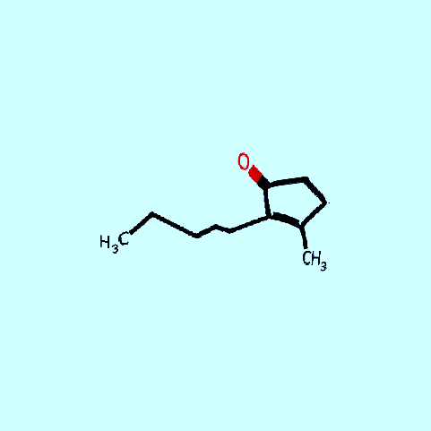 CCCCCC1=C(C)[CH]CC1=O